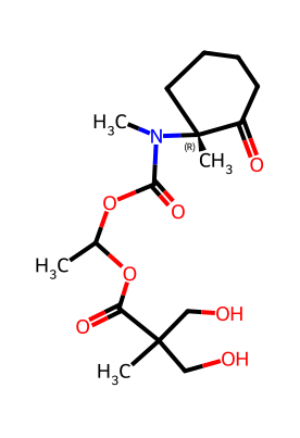 CC(OC(=O)N(C)[C@]1(C)CCCCC1=O)OC(=O)C(C)(CO)CO